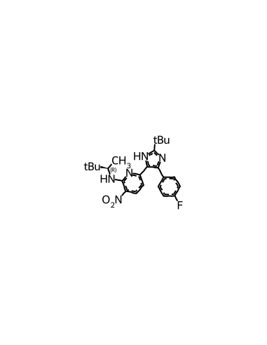 C[C@@H](Nc1nc(-c2[nH]c(C(C)(C)C)nc2-c2ccc(F)cc2)ccc1[N+](=O)[O-])C(C)(C)C